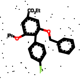 CCOC(=O)c1cc(OCc2ccccc2)c(-c2ccc(F)cc2)c(OC(C)C)c1